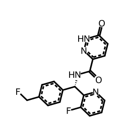 O=C(N[C@@H](c1ccc(CF)cc1)c1ncccc1F)c1ccc(=O)[nH]n1